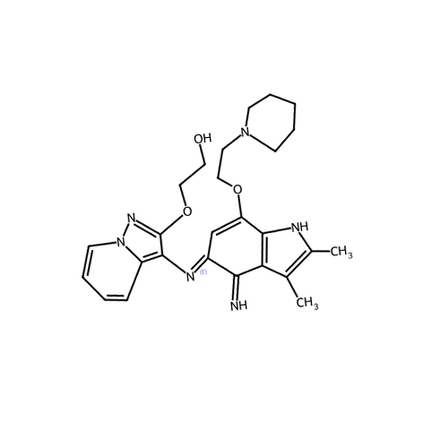 Cc1[nH]c2c(c1C)C(=N)/C(=N/c1c(OCCO)nn3ccccc13)C=C2OCCN1CCCCC1